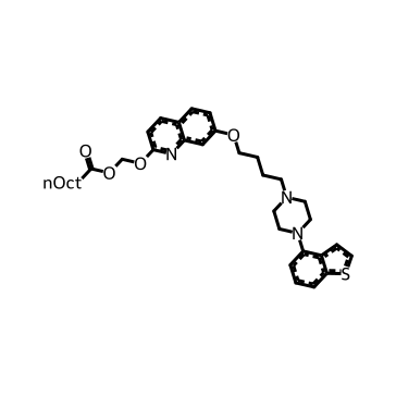 CCCCCCCCC(=O)OCOc1ccc2ccc(OCCCCN3CCN(c4cccc5sccc45)CC3)cc2n1